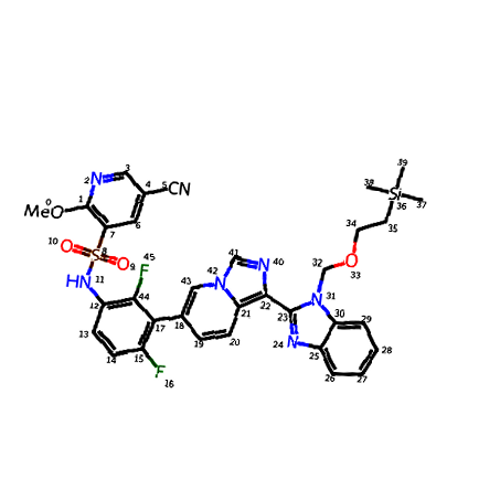 COc1ncc(C#N)cc1S(=O)(=O)Nc1ccc(F)c(-c2ccc3c(-c4nc5ccccc5n4COCC[Si](C)(C)C)ncn3c2)c1F